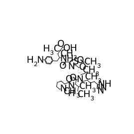 CC[C@H](C)[C@H](NC(=O)C1CCCCN1C)C(=O)N(CCCCc1cnn[nH]1)[C@H](C[C@@H](OC(C)=O)c1nc(C(=O)NC(Cc2ccc(N)cc2)CC(C)(C)C(=O)O)cs1)C(C)C